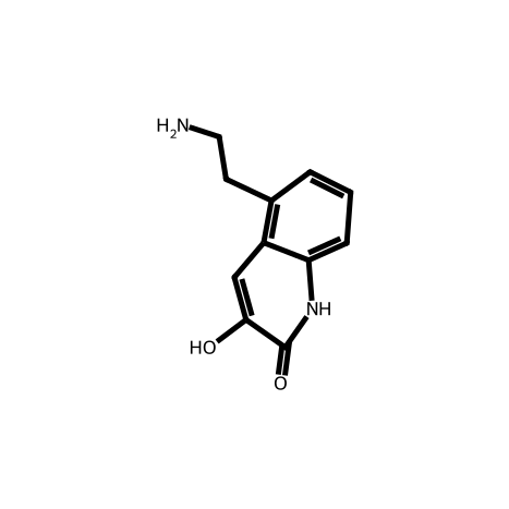 NCCc1cccc2[nH]c(=O)c(O)cc12